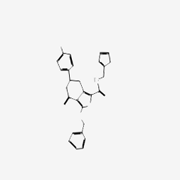 C=C(NCC1=CC=CC1)c1sc(SCc2ccccc2)c2c1CC(c1ccc(CC)cc1)CC2=C